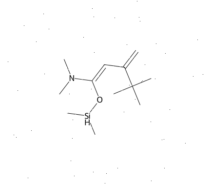 C=C(C=C(O[SiH](C)C)N(C)C)C(C)(C)C